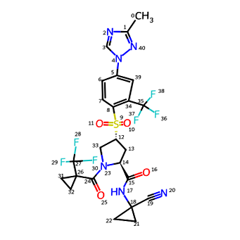 Cc1ncn(-c2ccc(S(=O)(=O)[C@@H]3C[C@@H](C(=O)NC4(C#N)CC4)N(C(=O)C4(C(F)(F)F)CC4)C3)c(C(F)(F)F)c2)n1